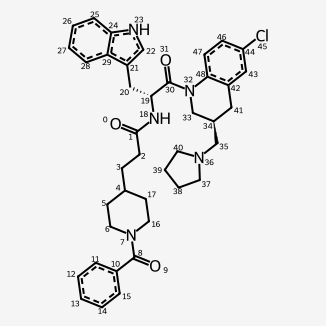 O=C(CCC1CCN(C(=O)c2ccccc2)CC1)N[C@H](Cc1c[nH]c2ccccc12)C(=O)N1C[C@H](CN2CCCC2)Cc2cc(Cl)ccc21